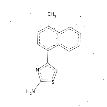 Cc1ccc(-c2csc(N)n2)c2ccccc12